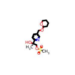 C[C@@](O)(COS(C)(=O)=O)c1ccc(COC2CCCCO2)cn1